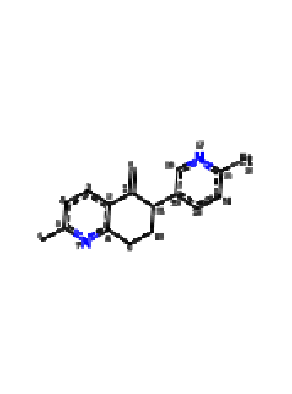 C=C1c2ccc(C)nc2CCC1c1ccc(CC)nc1